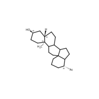 CC(=O)[C@@H]1CCCC23CCC4C(CC[C@H]5C[C@H](O)CC[C@]45C)C2CCC13